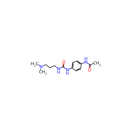 CC(=O)Nc1ccc(NC(=O)NCCCN(C)C)cc1